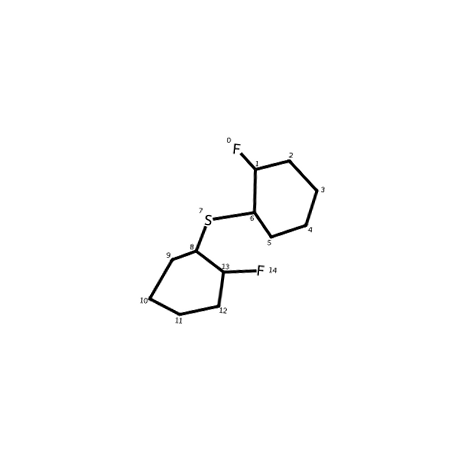 FC1CCCCC1SC1CCCCC1F